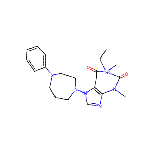 CC[N+]1(C)C(=O)c2c(ncn2N2CCCN(c3ccccc3)CC2)N(C)C1=O